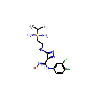 CC(C)S(N)(N)CCNC1=NN=C1/C(=N/O)Nc1ccc(F)c(Br)c1